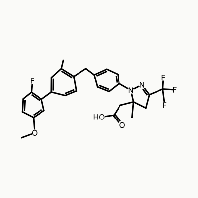 COc1ccc(F)c(-c2ccc(Cc3ccc(N4N=C(C(F)(F)F)CC4(C)CC(=O)O)cc3)c(C)c2)c1